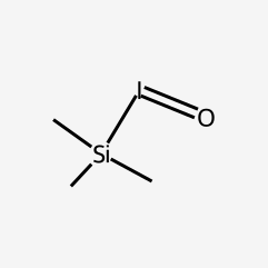 C[Si](C)(C)I=O